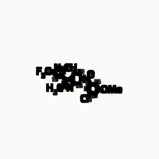 COc1cc(Cl)cc(C(=O)N2CCc3c(nn(C)c3-c3cc(C(F)(F)F)nn3C)C2)c1